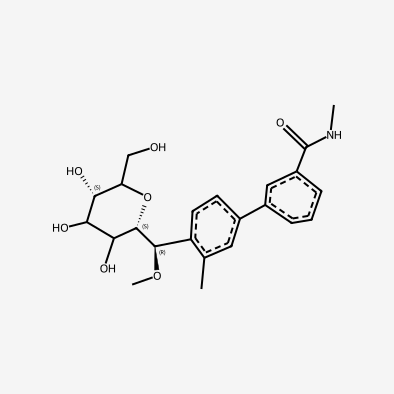 CNC(=O)c1cccc(-c2ccc([C@@H](OC)[C@H]3OC(CO)[C@@H](O)C(O)C3O)c(C)c2)c1